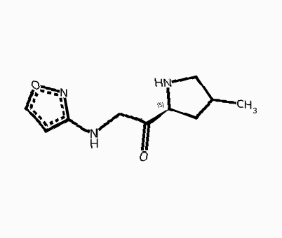 CC1CN[C@H](C(=O)CNc2ccon2)C1